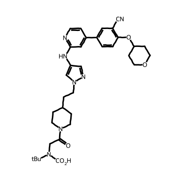 CC(C)(C)N(CC(=O)N1CCC(CCn2cc(Nc3cc(-c4ccc(OC5CCOCC5)c(C#N)c4)ccn3)cn2)CC1)C(=O)O